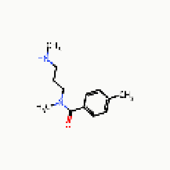 CNCCCN(C)C(=O)c1ccc(C)cc1